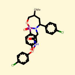 COC1COP(=O)(c2ccc(Oc3ccc(Cl)cc3)cc2)N(CC(=O)NO)C(c2ccc(Cl)cc2)C1